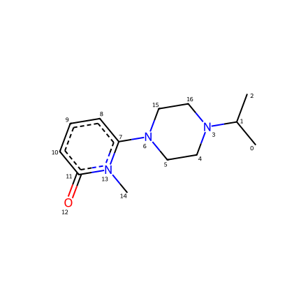 CC(C)N1CCN(c2cccc(=O)n2C)CC1